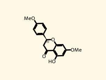 COc1ccc([C@@H]2CC(=O)c3c(O)cc(OC)cc3O2)cc1